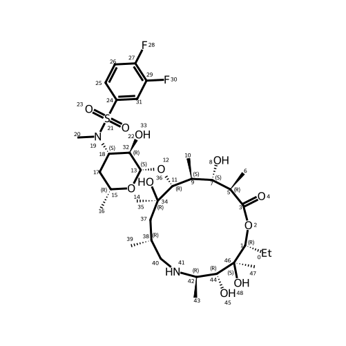 CC[C@H]1OC(=O)[C@H](C)[C@@H](O)[C@H](C)[C@@H](O[C@@H]2O[C@H](C)C[C@H](N(C)S(=O)(=O)c3ccc(F)c(F)c3)[C@H]2O)[C@](C)(O)C[C@@H](C)CN[C@H](C)[C@@H](O)[C@]1(C)O